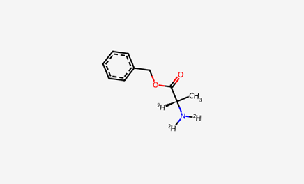 [2H]N([2H])[C@@]([2H])(C)C(=O)OCc1ccccc1